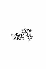 COC(=O)[C@H](Cc1cccc(CO)c1OCc1ccccc1)NC(=O)OC(C)(C)C